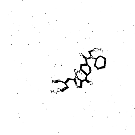 C/C=C\C(C#N)=C/c1ncc(C(=O)c2ccc(C(=O)N(CC)C3CCCCC3)cc2)n1C